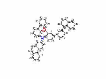 c1cc(-c2ccc(N(c3ccc4c(ccc5ccccc54)c3)c3cccc4c3oc3ccccc34)cc2)cc(-c2cccc3ccccc23)c1